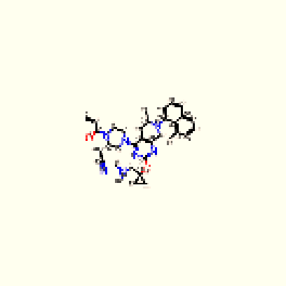 C=CC(=O)N1CCN(c2nc(OC3(CN(C)C)CC3)nc3c2CC(C)N(c2cccc4cccc(C)c24)C3)C[C@@H]1CC#N